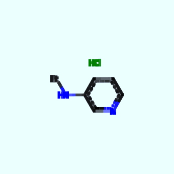 CCNc1cccnc1.Cl